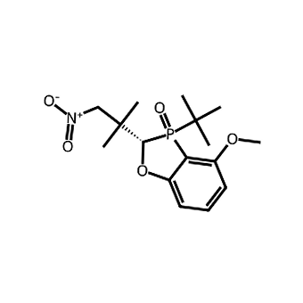 COc1cccc2c1P(=O)(C(C)(C)C)[C@@H](C(C)(C)C[N+](=O)[O-])O2